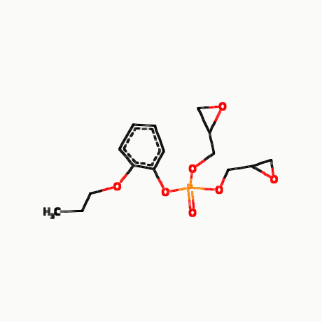 CCCOc1ccccc1OP(=O)(OCC1CO1)OCC1CO1